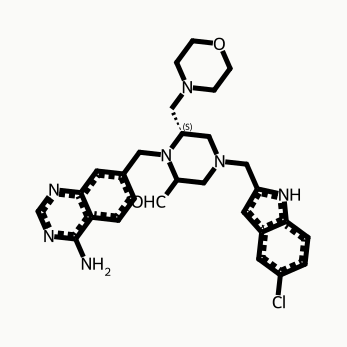 Nc1ncnc2cc(CN3C(C=O)CN(Cc4cc5cc(Cl)ccc5[nH]4)C[C@H]3CN3CCOCC3)ccc12